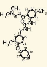 Cc1cc(CNC(=O)Nc2cc(C(F)(F)F)ccc2OCCN(C)C)ccc1Oc1ccncc1